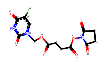 O=C(CCC(=O)ON1C(=O)CCC1=O)OCn1cc(F)c(=O)[nH]c1=O